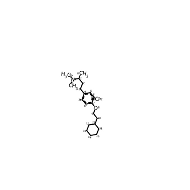 CC(CCc1ccc(OCCC2CCCCC2)cc1)N(C)C.Cl